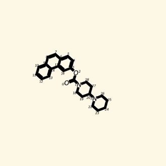 O=C(Oc1ccc2ccc3ccccc3c2c1)N1CCC(N2CCCCC2)CC1